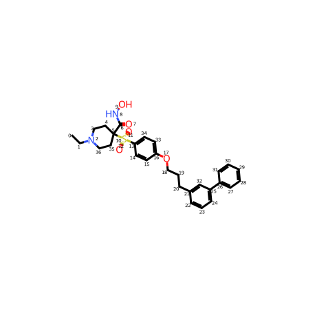 CCN1CCC(C(=O)NO)(S(=O)(=O)c2ccc(OCCCc3cccc(-c4ccccc4)c3)cc2)CC1